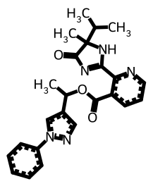 CC(OC(=O)c1cccnc1C1=NC(=O)C(C)(C(C)C)N1)c1cnn(-c2ccccc2)c1